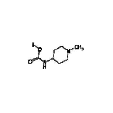 CN1CCC(NC(=O)OI)CC1